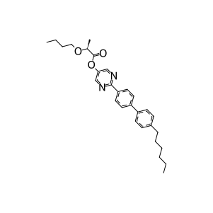 CCCCCCc1ccc(-c2ccc(-c3ncc(OC(=O)[C@H](C)OCCCC)cn3)cc2)cc1